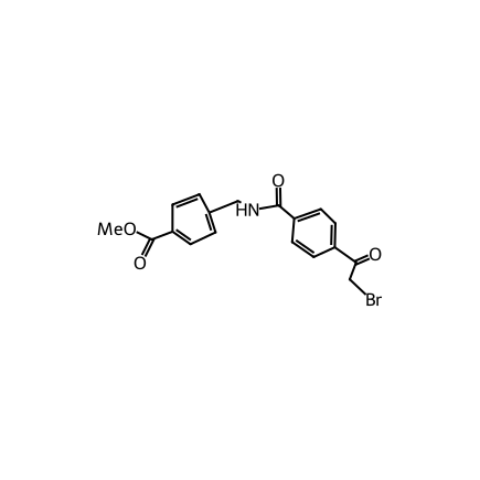 COC(=O)c1ccc(CNC(=O)c2ccc(C(=O)CBr)cc2)cc1